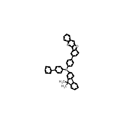 CC1(C)c2ccccc2-c2ccc(N(c3ccc(-c4ccccc4)cc3)c3ccc(-c4ccc5oc6cc7ccccc7nc6c5c4)cc3)cc21